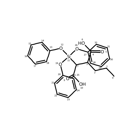 CCCC(C(=O)O)C(C(=O)O)[Si](Oc1ccccc1)(Oc1ccccc1)Oc1ccccc1